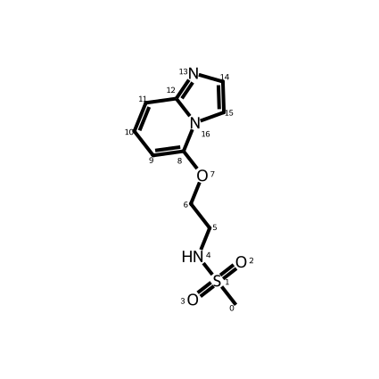 CS(=O)(=O)NCCOc1cccc2nccn12